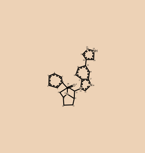 O=C(c1ccccc1)N1C2CCC1C(n1cnc3cc(-c4cn[nH]c4)ccc31)CC2